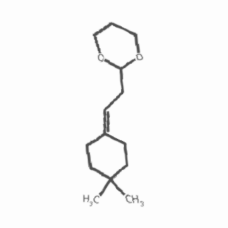 CC1(C)CCC(=CCC2OCCCO2)CC1